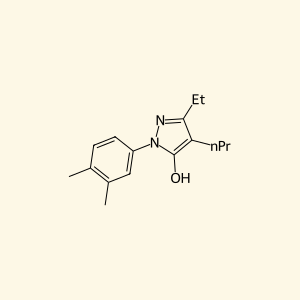 CCCc1c(CC)nn(-c2ccc(C)c(C)c2)c1O